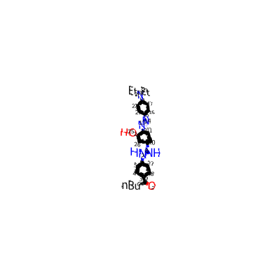 CCCCC(=O)c1ccc(NNc2ccc(/N=N/c3ccc(N(CC)CC)cc3)c(O)c2)cc1